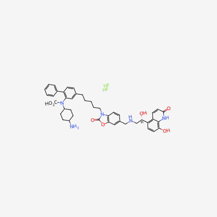 F.F.NC1CCC(N(C(=O)O)c2cc(CCCCCn3c(=O)oc4cc(CNC[C@H](O)c5ccc(O)c6[nH]c(=O)ccc56)ccc43)ccc2-c2ccccc2)CC1